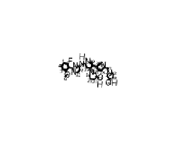 COc1cccc(F)c1-c1nccc(Nc2cc(N3CCC[C@H](O)C3)c(-c3ccc(CN4CCC(O)C4)nc3)cn2)n1